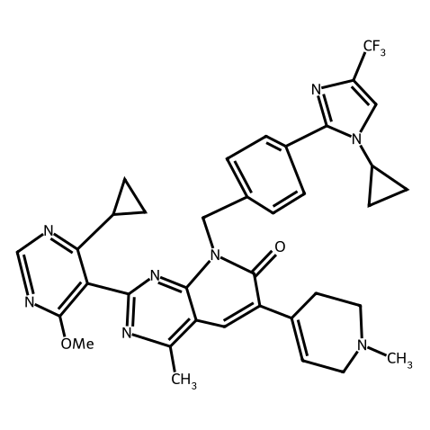 COc1ncnc(C2CC2)c1-c1nc(C)c2cc(C3=CCN(C)CC3)c(=O)n(Cc3ccc(-c4nc(C(F)(F)F)cn4C4CC4)cc3)c2n1